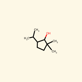 CC(C)C1CCC(C)(C)C1O